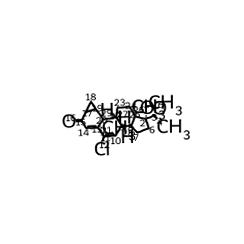 CO[C@]1(C(C)=O)CC[C@H]2[C@@H]3C=C(Cl)C4=CC(=O)C5CC5[C@@]4(C)[C@@H]3CC[C@@]21C